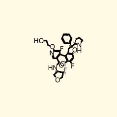 O=C(N[C@H]1COC[C@@H]1F)c1cnc(OCCO)c(F)c1-c1c(Cl)c(F)cc2c1C[C@](c1ccccc1)([C@@H]1CCCN1)O2